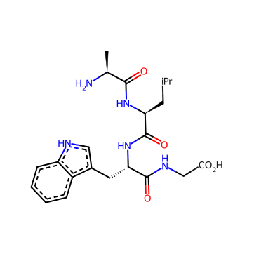 CC(C)C[C@H](NC(=O)[C@H](C)N)C(=O)N[C@@H](Cc1c[nH]c2ccccc12)C(=O)NCC(=O)O